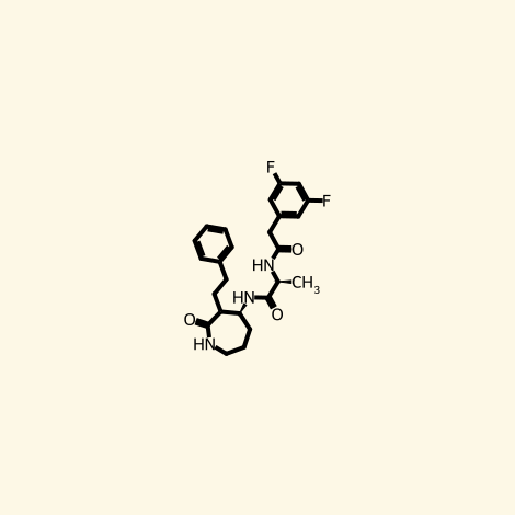 C[C@H](NC(=O)Cc1cc(F)cc(F)c1)C(=O)N[C@H]1CCCNC(=O)C1CCc1ccccc1